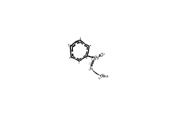 CC(C)(C)/N=[SH](=O)/c1ccccc1